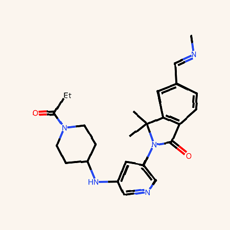 CCC(=O)N1CCC(Nc2cncc(N3C(=O)c4ccc(/C=N/C)cc4C3(C)C)c2)CC1